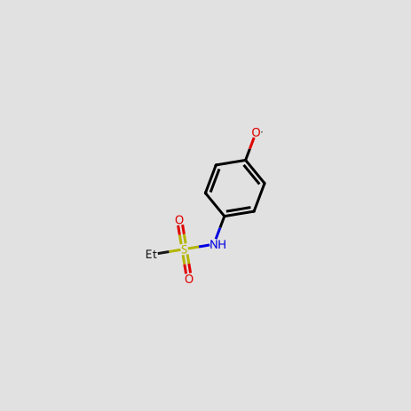 CCS(=O)(=O)Nc1ccc([O])cc1